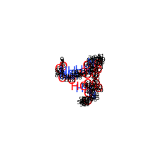 C=CCOC(=O)NC(C(=O)NC(C)C(=O)Nc1ccc(COC(=O)Nc2cc(OCCCOc3cc(NC(=O)O)c(C(=O)N4CCC[C@H]4CO[Si](C)(C)C(C)(C)C)cc3OC)c(OC)cc2C(=O)N2CCC[C@H]2CO[Si](C)(C)C(C)(C)C)cc1)C(C)C